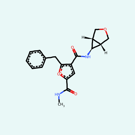 CNC(=O)c1cc(C(=O)N[C@H]2[C@@H]3COC[C@@H]32)c(Cc2ccccc2)o1